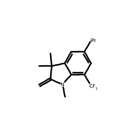 C=C1N(C)c2c(C(F)(F)F)cc(C(C)C)cc2C1(C)C